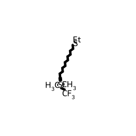 CCSCCCCCCCCCCCC#C[Si](C)(C)CCC(F)(F)F